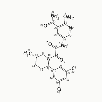 COc1ncc(NC(=O)C(=O)N2C[C@@H](C)CCC2c2cc(Cl)cc(Cl)c2)cc1C(N)=O